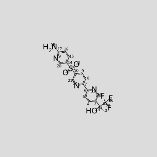 C[C@](O)(c1ccc(-c2ccc(S(=O)(=O)c3ccc(N)nc3)cn2)nc1)C(F)(F)F